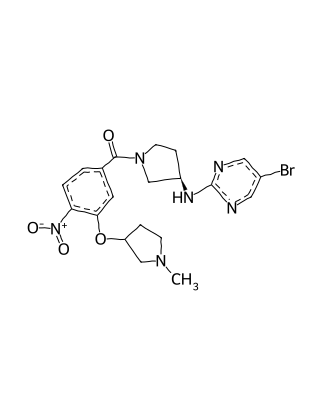 CN1CCC(Oc2cc(C(=O)N3CC[C@@H](Nc4ncc(Br)cn4)C3)ccc2[N+](=O)[O-])C1